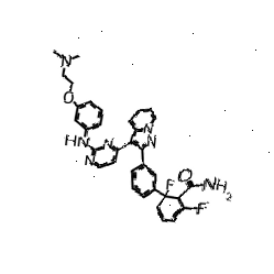 CN(C)CCOc1cccc(Nc2nccc(-c3c(-c4cccc(C5(F)C=CC=C(F)C5C(N)=O)c4)nn4ccccc34)n2)c1